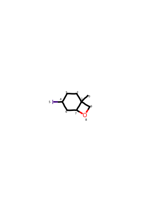 CC12CCC(I)CC1OC2